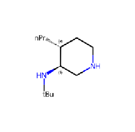 CCC[C@@H]1CCNC[C@H]1NC(C)(C)C